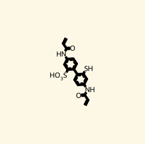 C=CC(=O)Nc1ccc(-c2ccc(NC(=O)C=C)cc2S(=O)(=O)O)c(S)c1